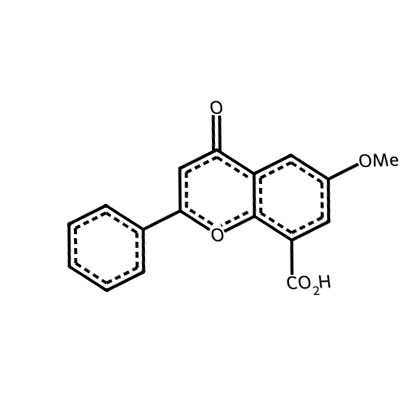 COc1cc(C(=O)O)c2oc(-c3ccccc3)cc(=O)c2c1